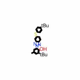 Cc1cc(-n2nc3ccc(Sc4ccc(C(C)(C)C)cc4)cc3n2)c(O)c(C(C)(C)C)c1